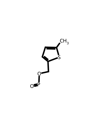 Cc1ccc(COP=O)s1